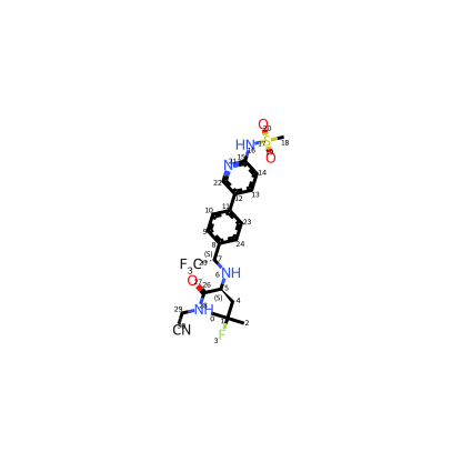 CC(C)(F)C[C@H](N[C@@H](c1ccc(-c2ccc(NS(C)(=O)=O)nc2)cc1)C(F)(F)F)C(=O)NCC#N